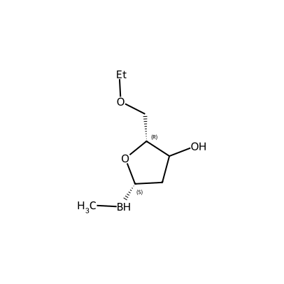 CB[C@H]1CC(O)[C@@H](COCC)O1